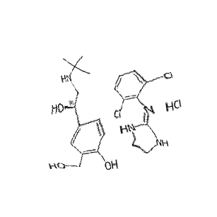 CC(C)(C)NC[C@H](O)c1ccc(O)c(CO)c1.Cl.Clc1cccc(Cl)c1N=C1NCCN1